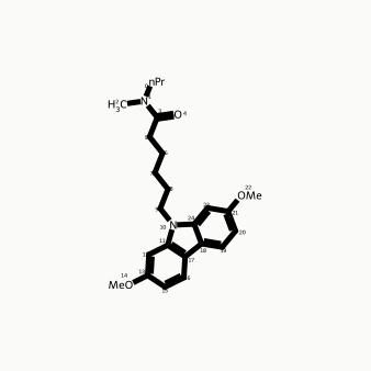 CCCN(C)C(=O)CCCCCn1c2cc(OC)ccc2c2ccc(OC)cc21